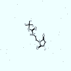 C[C@H]1CC(=O)N(CCNC(=O)OC(C)(C)C)C1=O